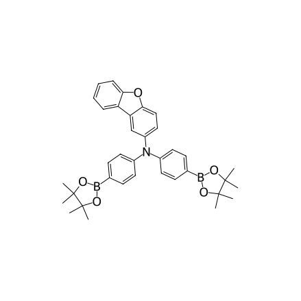 CC1(C)OB(c2ccc(N(c3ccc(B4OC(C)(C)C(C)(C)O4)cc3)c3ccc4oc5ccccc5c4c3)cc2)OC1(C)C